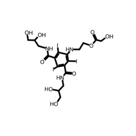 O=C(CO)OCCNc1c(I)c(C(=O)NCC(O)CO)c(I)c(C(=O)NCC(O)CO)c1I